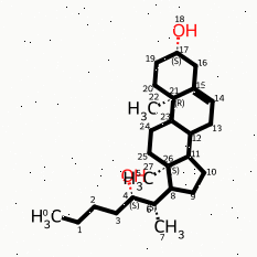 CCCC[C@H](O)[C@@H](C)C1CCC2C3CC=C4C[C@@H](O)CC[C@]4(C)C3CC[C@@]21C